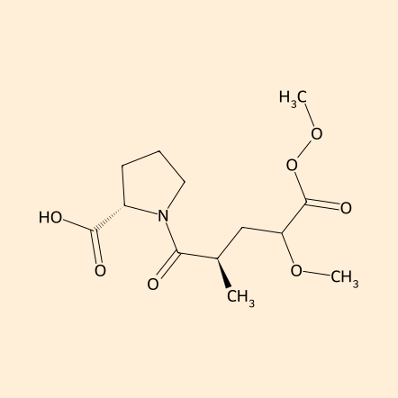 COOC(=O)C(C[C@@H](C)C(=O)N1CCC[C@H]1C(=O)O)OC